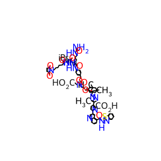 Cc1c(-c2ccc(-c3cnc4cccc(C(=O)Nc5nc6ccccc6s5)c4c3)nc2C(=O)O)cnn1CC12CC3(C)CC(C)(C1)CC(OCCN(CCC(=O)O)C(=O)OCc1ccc(NC(=O)[C@H](CCCNC(N)=O)NC(=O)[C@@H](NC(=O)CCCCCN4C(=O)C=CC4=O)C(C)C)cc1)(C3)C2